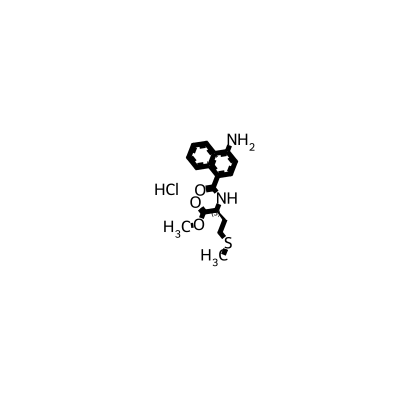 COC(=O)[C@H](CCSC)NC(=O)c1ccc(N)c2ccccc12.Cl